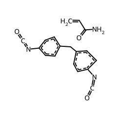 C=CC(N)=O.O=C=Nc1ccc(Cc2ccc(N=C=O)cc2)cc1